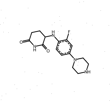 O=C1CCC(Nc2ccc(N3CCNCC3)cc2F)C(=O)N1